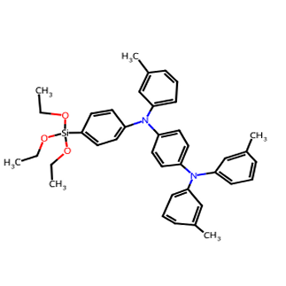 CCO[Si](OCC)(OCC)c1ccc(N(c2ccc(N(c3cccc(C)c3)c3cccc(C)c3)cc2)c2cccc(C)c2)cc1